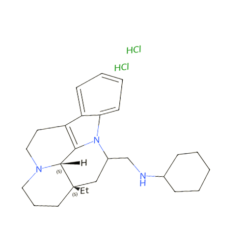 CC[C@]12CCCN3CCc4c(n(c5ccccc45)C(CNC4CCCCC4)C1)[C@@H]32.Cl.Cl